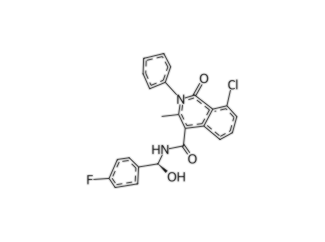 Cc1c(C(=O)N[C@@H](O)c2ccc(F)cc2)c2cccc(Cl)c2c(=O)n1-c1ccccc1